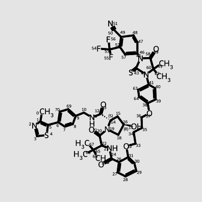 Cc1ncsc1-c1ccc(CNC(=O)[C@@H]2C[C@@H](O)CN2C(=O)C(NC(=O)c2ccccc2OCCCCOc2ccc(N3C(=S)N(c4ccc(C#N)c(C(F)(F)F)c4)C(=O)C3(C)C)cc2)C(C)(C)C)cc1